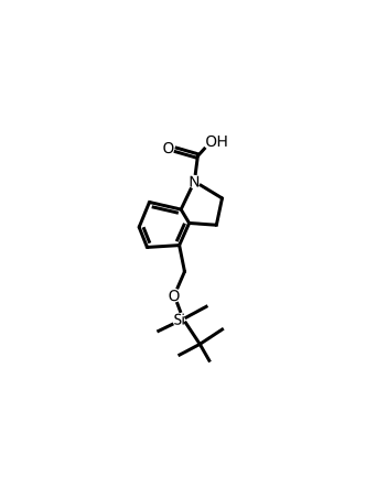 CC(C)(C)[Si](C)(C)OCc1cccc2c1CCN2C(=O)O